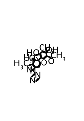 CC(=O)c1c(O)c(C)c(O)c2c1OC1=Cc3c(c(C)nn3-c3cnccn3)C(=O)[C@@]12C